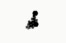 COC(=O)[C@H]1c2ccccc2[C@H](NC(=O)OCc2ccccc2)CN1C(=O)Cl